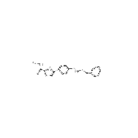 O=C(NO)c1ccc(-c2ccc(CNCCc3ccccc3)cc2)o1